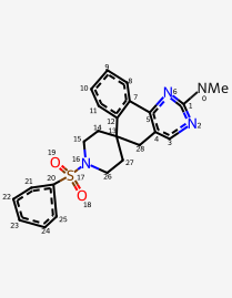 CNc1ncc2c(n1)-c1ccccc1C1(CCN(S(=O)(=O)c3ccccc3)CC1)C2